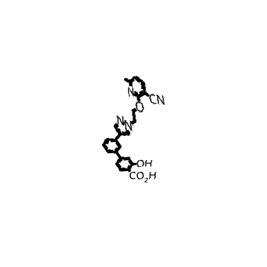 Cc1ccc(C#N)c(OCCn2cc(-c3cccc(-c4ccc(C(=O)O)c(O)c4)c3)cn2)n1